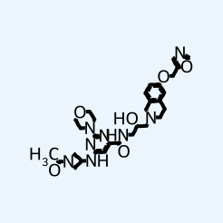 CC(=O)N1CC(Nc2cc(C(=O)NCC(O)CN3CCc4cc(OCc5cnco5)ccc4C3)nc(N3CCOCC3)n2)C1